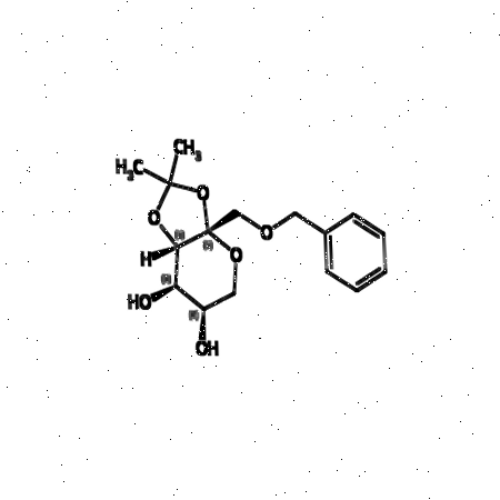 CC1(C)O[C@H]2[C@H](O)[C@H](O)CO[C@@]2(COCc2ccccc2)O1